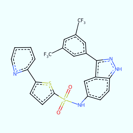 O=S(=O)(Nc1ccc2[nH]nc(-c3cc(C(F)(F)F)cc(C(F)(F)F)c3)c2c1)c1ccc(-c2ccccn2)s1